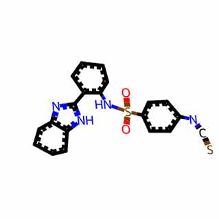 O=S(=O)(Nc1ccccc1-c1nc2ccccc2[nH]1)c1ccc(N=C=S)cc1